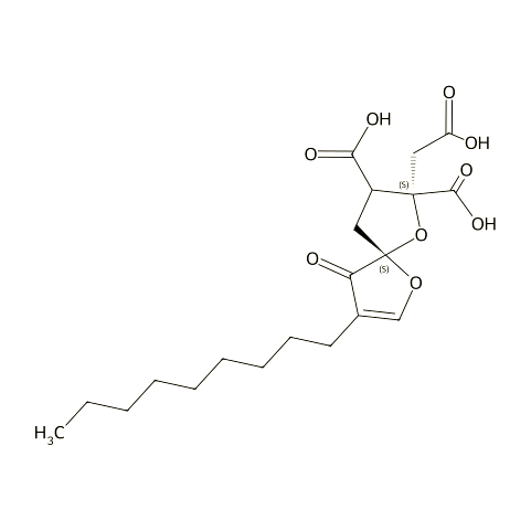 CCCCCCCCCC1=CO[C@]2(CC(C(=O)O)[C@@](CC(=O)O)(C(=O)O)O2)C1=O